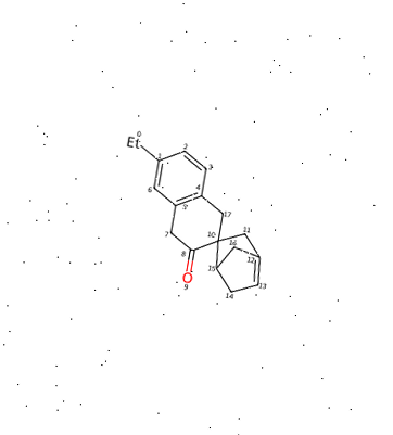 CCc1ccc2c(c1)CC(=O)C1(CC3=CCC1C3)C2